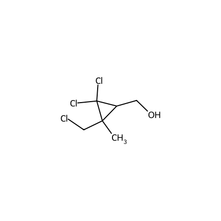 CC1(CCl)C(CO)C1(Cl)Cl